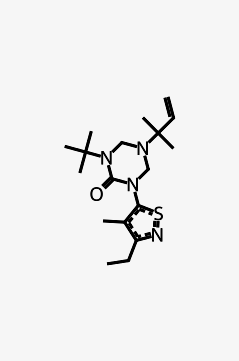 C=CC(C)(C)N1CN(c2snc(CC)c2C)C(=O)N(C(C)(C)C)C1